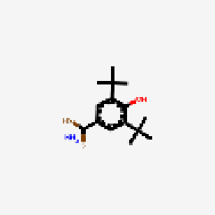 CC(C)(C)c1cc(C(=S)S)cc(C(C)(C)C)c1O.N